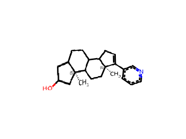 C[C@]12CC(O)CC1CCC1C2CC[C@]2(C)C(c3cccnc3)=CCC12